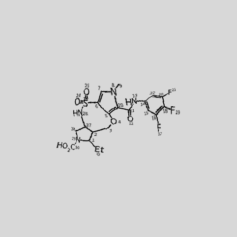 CCC1C2COc3c(cn(C)c3C(=O)Nc3cc(F)c(F)c(F)c3)S(=O)(=O)NC2CN1C(=O)O